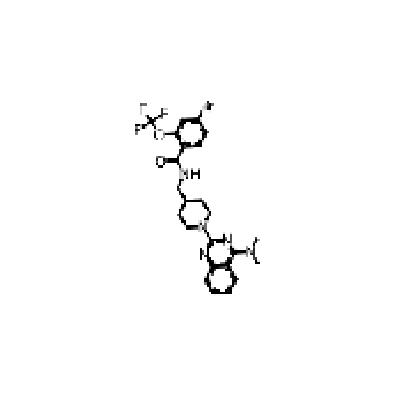 CN(C)c1nc(N2CCC(CNC(=O)c3ccc(Br)cc3OC(F)(F)F)CC2)nc2ccccc12